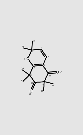 CC1(C)C=CC2=C(O1)C(C)(C)C(=O)C(C)(C)C2=O